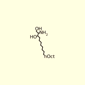 CCCCCCCCCCCCCCCCC(O)C(N)CO